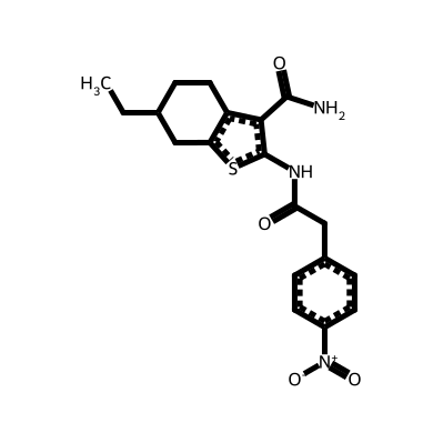 CCC1CCc2c(sc(NC(=O)Cc3ccc([N+](=O)[O-])cc3)c2C(N)=O)C1